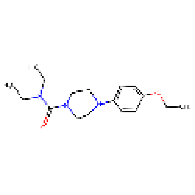 CCOc1ccc(N2CCN(C(=O)N(CC)CC)CC2)cc1